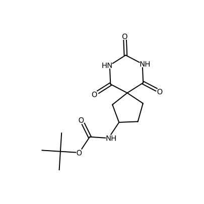 CC(C)(C)OC(=O)NC1CCC2(C1)C(=O)NC(=O)NC2=O